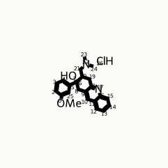 COc1cccc(C2(O)Cc3cc4ccccc4nc3CC2CN(C)C)c1.Cl